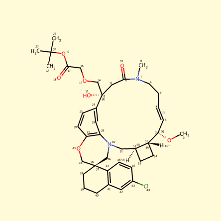 CO[C@H]1/C=C/CCN(C)C(=O)C[C@](O)(COCC(=O)OC(C)(C)C)c2ccc3c(c2)N(C[C@@H]2CC[C@H]21)C[C@@]1(CCCc2cc(Cl)ccc21)CO3